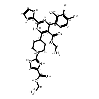 CCOC(=O)C1=C(C2CCN(c3nc(C(=O)OCC)co3)CC2)NC(c2nccs2)=NC1c1ccc(F)c(F)c1Cl